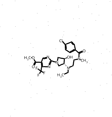 CCN(CCN(C)C(=O)c1ccc(Cl)cc1)[C@@H]1CN(c2ncc(C(=O)OC)c(C(F)(F)F)n2)C[C@H]1O